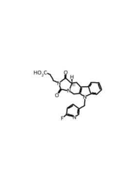 O=C(O)CCN1C(=O)[C@@H]2Cc3c(n(Cc4ccc(F)nc4)c4ccccc34)CN2C1=O